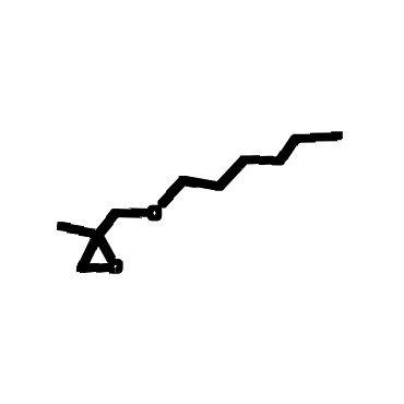 CCCCCCOCC1(C)CO1